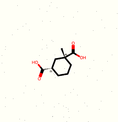 C[C@@]1(C(=O)O)CCC[C@H](C(=O)O)C1